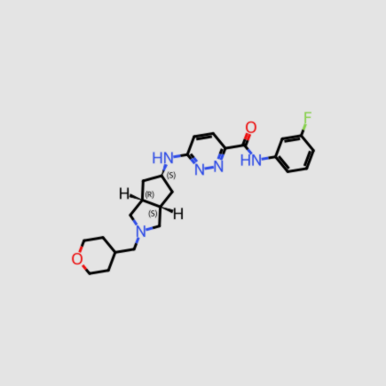 O=C(Nc1cccc(F)c1)c1ccc(N[C@H]2C[C@@H]3CN(CC4CCOCC4)C[C@@H]3C2)nn1